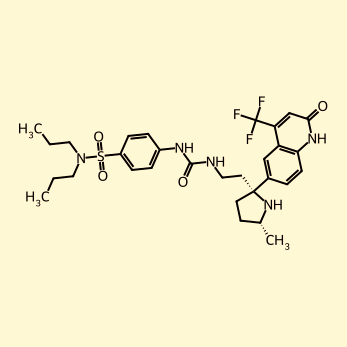 CCCN(CCC)S(=O)(=O)c1ccc(NC(=O)NCC[C@@]2(c3ccc4[nH]c(=O)cc(C(F)(F)F)c4c3)CC[C@@H](C)N2)cc1